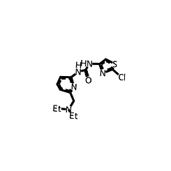 CCN(CC)Cc1cccc(NC(=O)Nc2csc(Cl)n2)n1